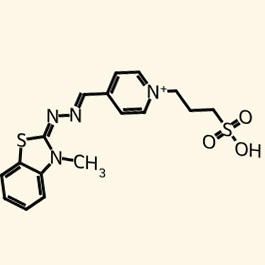 Cn1c(=NN=Cc2cc[n+](CCCS(=O)(=O)O)cc2)sc2ccccc21